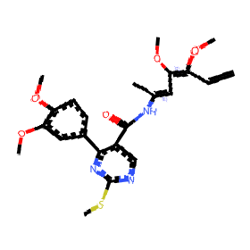 C=C/C(OC)=C(\C=C(/C)NC(=O)c1cnc(SC)nc1-c1ccc(OC)c(OC)c1)OC